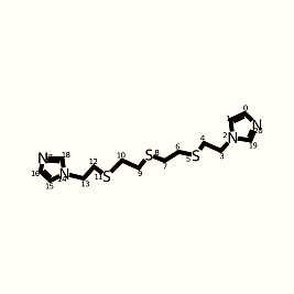 c1cn(CCSCCSCCSCCn2ccnc2)cn1